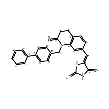 O=C1NC(=O)C(=Cc2ccc3c(c2)N(Cc2ccc(-c4ccccc4)cc2)C(=O)CC3)S1